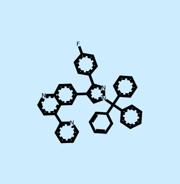 Fc1ccc(-c2nn(C(c3ccccc3)(c3ccccc3)C3C=CC=CC3)cc2-c2ccc3nccc(-c4ccccn4)c3c2)cc1